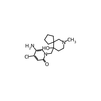 CN1CCC(O)(Cn2cc(N)c(Cl)cc2=O)C2(CCCC2)C1